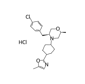 Cc1cnc(C2CCC(N3C[C@H](C)OC[C@@H]3Cc3ccc(Cl)cc3)CC2)o1.Cl